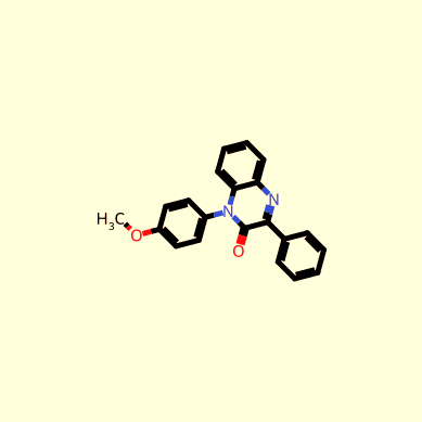 COc1ccc(-n2c(=O)c(-c3ccccc3)nc3ccccc32)cc1